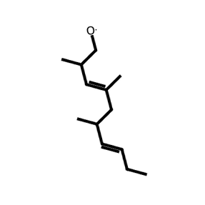 CCC=CC(C)CC(C)=CC(C)C[O]